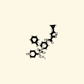 CN(C1CCNCC1)S(=O)(=O)N1CC[C@H](NC(=O)c2cc(C3CC3)on2)C[C@H]1Cc1ccccc1